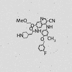 COCCOc1cc2ncc(C#N)c(Nc3ccc(OCc4cccc(F)c4)c(C)c3)c2cc1NC(=O)C=C1CCNCC1